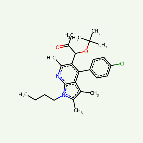 CCCCn1c(C)c(C)c2c(-c3ccc(Cl)cc3)c(C(OC(C)(C)C)C(C)=O)c(C)nc21